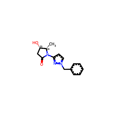 C[C@H]1[C@@H](O)CC(=O)N1c1ccn(Cc2ccccc2)n1